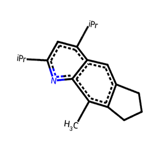 Cc1c2c(cc3c(C(C)C)cc(C(C)C)nc13)CCC2